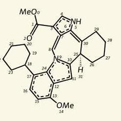 COC(=O)c1c[nH]c2c1=Cn1c(cc3c(OC)ccc(C4CCCCC4)c31)[C@@H]1CCCCC=21